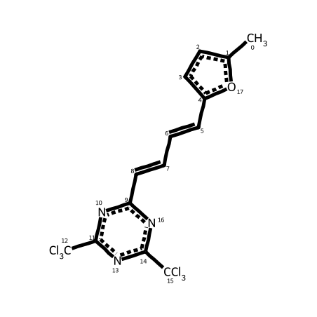 Cc1ccc(C=CC=Cc2nc(C(Cl)(Cl)Cl)nc(C(Cl)(Cl)Cl)n2)o1